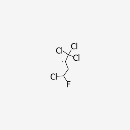 FC(Cl)C[CH]C(Cl)(Cl)Cl